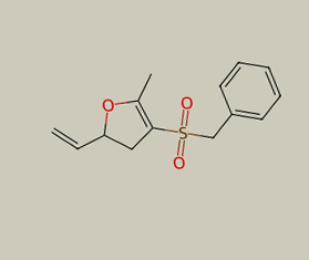 C=CC1CC(S(=O)(=O)Cc2ccccc2)=C(C)O1